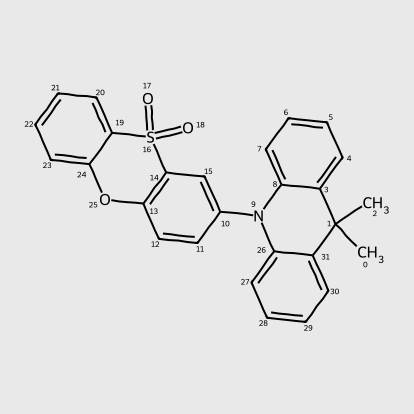 CC1(C)c2ccccc2N(c2ccc3c(c2)S(=O)(=O)c2ccccc2O3)c2ccccc21